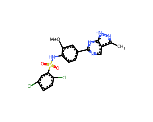 COc1cc(-c2ncc3c(C)n[nH]c3n2)ccc1NS(=O)(=O)c1cc(Cl)ccc1Cl